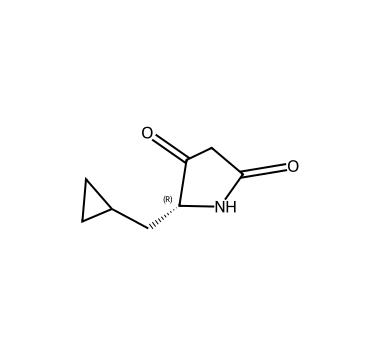 O=C1CC(=O)[C@@H](CC2CC2)N1